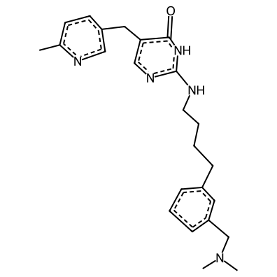 Cc1ccc(Cc2cnc(NCCCCc3cccc(CN(C)C)c3)[nH]c2=O)cn1